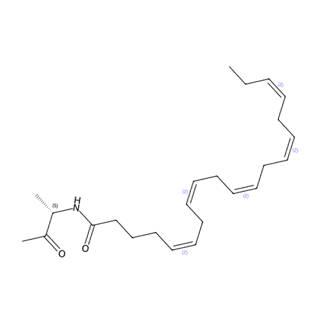 CC/C=C\C/C=C\C/C=C\C/C=C\C/C=C\CCCC(=O)N[C@@H](C)C(C)=O